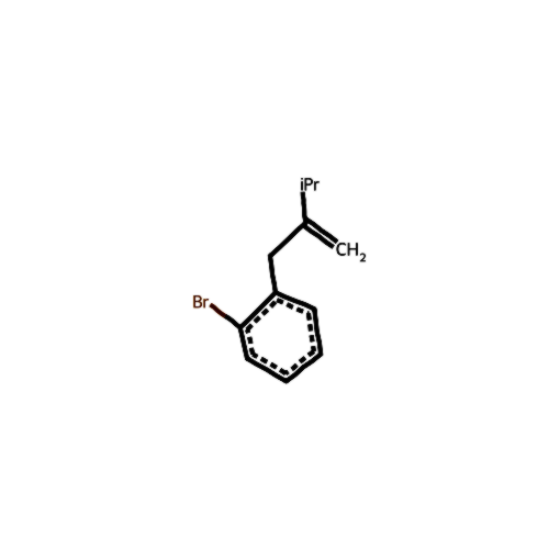 C=C(Cc1ccccc1Br)C(C)C